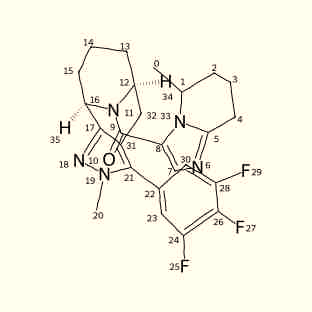 CC1CCCc2ncc(C(=O)N3[C@H]4CCC[C@@H]3c3nn(C)c(-c5cc(F)c(F)c(F)c5)c3C4)n21